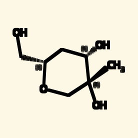 C[C@@]1(O)CO[C@H](CO)C[C@@H]1O